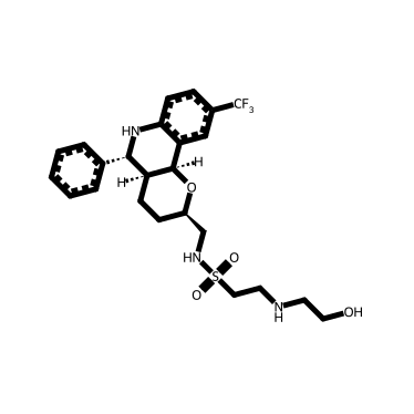 O=S(=O)(CCNCCO)NC[C@H]1CC[C@@H]2[C@H](O1)c1cc(C(F)(F)F)ccc1N[C@H]2c1ccccc1